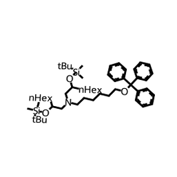 CCCCCCC(CN(CCCCCCOC(c1ccccc1)(c1ccccc1)c1ccccc1)CC(CCCCCC)O[Si](C)(C)C(C)(C)C)O[Si](C)(C)C(C)(C)C